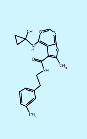 Cc1cccc(CCNC(=O)c2c(C)oc3ncnc(NC4(C)CC4)c23)c1